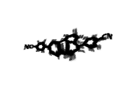 N#Cc1ccc(-c2ccc3c(c2)-c2cccc4c(-c5ccc(C#N)cc5)ccc-3c24)cc1